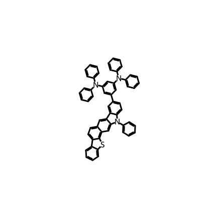 c1ccc(N(c2ccccc2)c2cc(-c3ccc4c(c3)c3cc5ccc6c7ccccc7sc6c5cc3n4-c3ccccc3)cc(N(c3ccccc3)c3ccccc3)c2)cc1